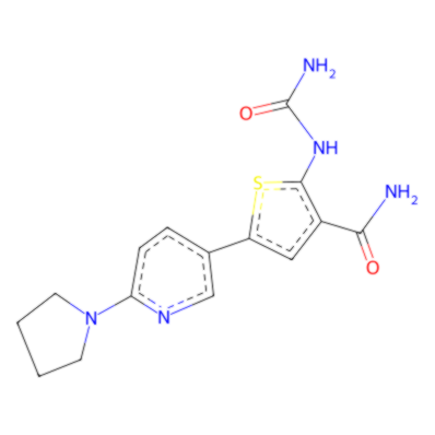 NC(=O)Nc1sc(-c2ccc(N3CCCC3)nc2)cc1C(N)=O